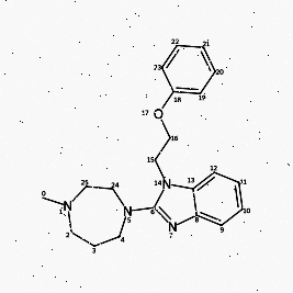 CN1CCCN(c2nc3ccccc3n2CCOc2ccccc2)CC1